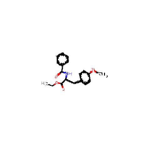 CCOC(=O)C(Cc1ccc(OC)cc1)NC(=O)c1ccccc1